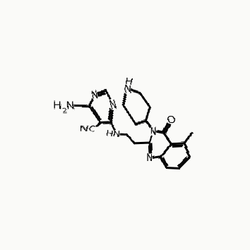 Cc1cccc2nc(CCNc3ncnc(N)c3C#N)n(C3CCNCC3)c(=O)c12